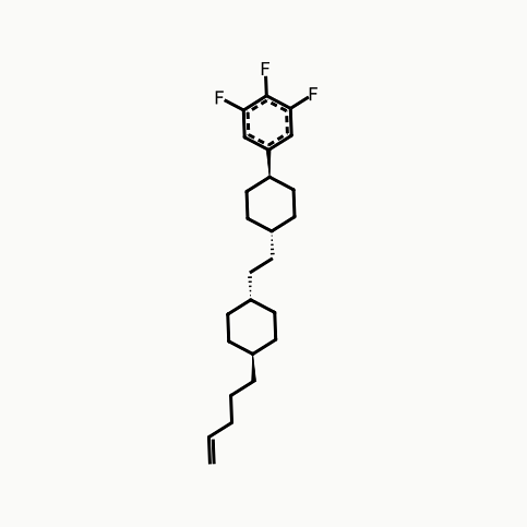 C=CCCC[C@H]1CC[C@H](CC[C@H]2CC[C@H](c3cc(F)c(F)c(F)c3)CC2)CC1